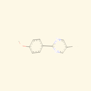 CCCCCCCCOc1ccc(-c2ncc(C=O)cn2)cc1